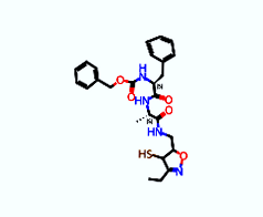 CCC1=NOC(CNC(=O)[C@H](C)NC(=O)[C@H](Cc2ccccc2)NC(=O)OCc2ccccc2)C1S